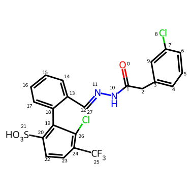 O=C(Cc1cccc(Cl)c1)NN=Cc1ccccc1-c1c(S(=O)(=O)O)ccc(C(F)(F)F)c1Cl